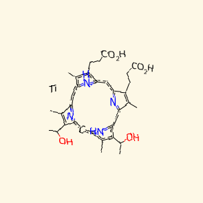 CC1=C(CCC(=O)O)c2cc3[nH]c(cc4nc(cc5[nH]c(cc1n2)c(C(C)O)c5C)C(C(C)O)=C4C)c(C)c3CCC(=O)O.[Ti]